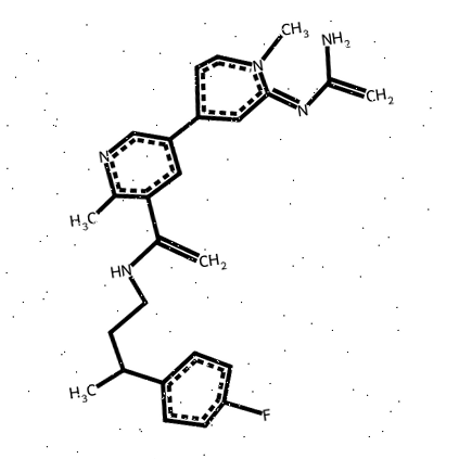 C=C(N)/N=c1/cc(-c2cnc(C)c(C(=C)NCCC(C)c3ccc(F)cc3)c2)ccn1C